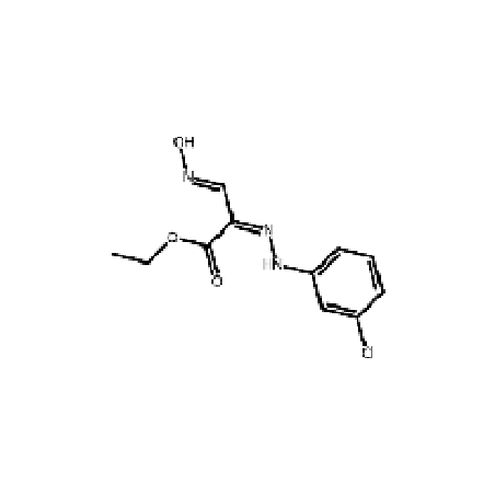 CCOC(=O)C(C=NO)=NNc1cccc(Cl)c1